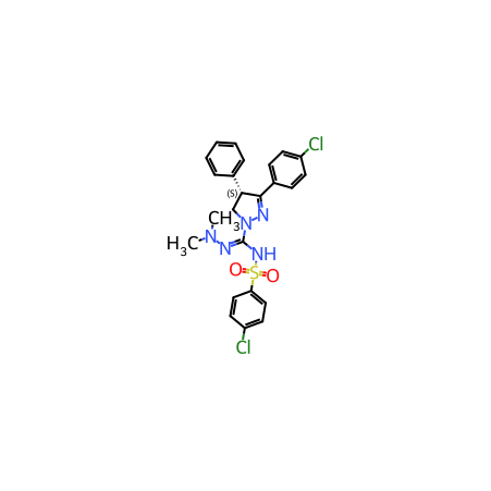 CN(C)N=C(NS(=O)(=O)c1ccc(Cl)cc1)N1C[C@H](c2ccccc2)C(c2ccc(Cl)cc2)=N1